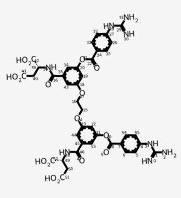 N=C(N)Nc1ccc(C(=O)Oc2cc(OCCOc3cc(OC(=O)c4ccc(NC(=N)N)cc4)cc(C(=O)N[C@H](CC(=O)O)C(=O)O)c3)cc(C(=O)N[C@H](CC(=O)O)C(=O)O)c2)cc1